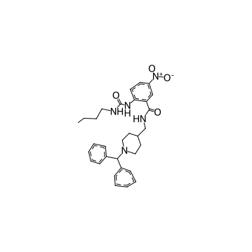 CCCCNC(=O)Nc1ccc([N+](=O)[O-])cc1C(=O)NCC1CCN(C(c2ccccc2)c2ccccc2)CC1